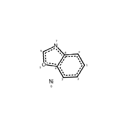 [N].c1ccc2ocnc2c1